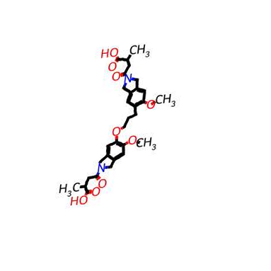 COc1cc2c(cc1CCCOc1cc3c(cc1OC)CN(C(=O)CC(C)C(=O)O)C3)CN(C(=O)CC(C)C(=O)O)C2